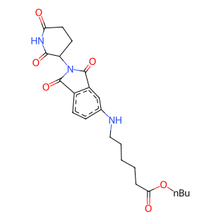 CCCCOC(=O)CCCCCNc1ccc2c(c1)C(=O)N(C1CCC(=O)NC1=O)C2=O